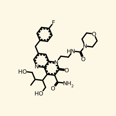 CC(CO)C(CO)c1c(C(N)=O)c(=O)n(CCNC(=O)N2CCOCC2)c2cc(Cc3ccc(F)cc3)cnc12